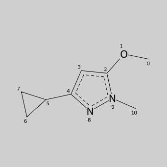 COc1cc(C2CC2)nn1C